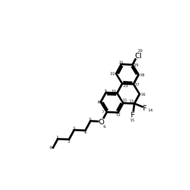 CCCCCCOc1ccc2c(c1)C(F)(F)Cc1cc(Cl)ccc1-2